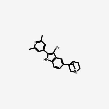 Cc1cc(-c2[nH]c3ccc(C4CN5CCC4CC5)cc3c2C(C)C)cc(C)n1